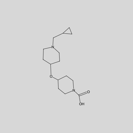 O=C(O)N1CCC(OC2CCN(CC3CC3)CC2)CC1